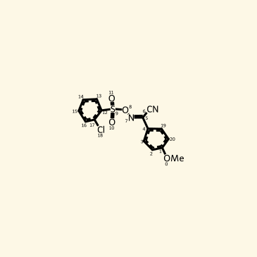 COc1ccc(/C(C#N)=N/OS(=O)(=O)c2ccccc2Cl)cc1